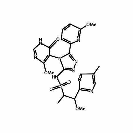 COc1cccc(-c2nnc(NS(=O)(=O)C(C)C(OC)c3ncc(C)cn3)n2-c2c(OC)nc[nH]c2=O)n1